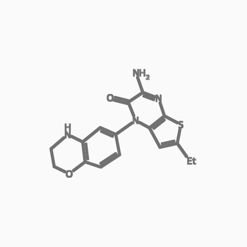 CCc1cc2c(nc(N)c(=O)n2-c2ccc3c(c2)NCCO3)s1